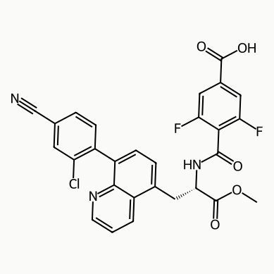 COC(=O)[C@H](Cc1ccc(-c2ccc(C#N)cc2Cl)c2ncccc12)NC(=O)c1c(F)cc(C(=O)O)cc1F